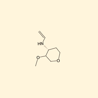 C=CN[C@@H]1CCOCC1OC